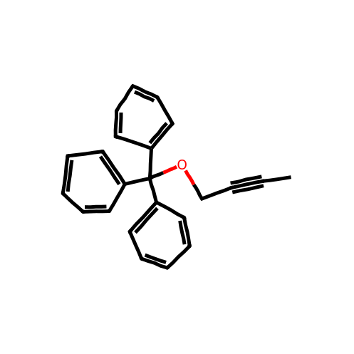 CC#CCOC(c1ccccc1)(c1ccccc1)c1ccccc1